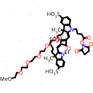 CC[N+]1=C(/C=C2\C(=O)C(/C=C3/N(CCCC(=O)ON4C(=O)CCC4=O)c4ccc(S(=O)(=O)O)cc4C3(C)CCOCCOCCOCCOCCOCCOC)=C2O)C(C)(CCCS(=O)(=O)O)c2cc(S(=O)(=O)O)ccc21